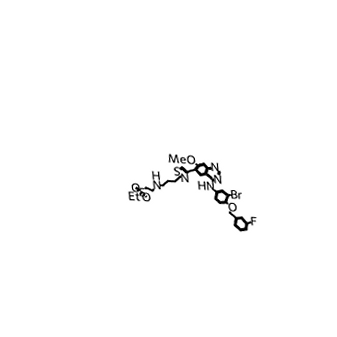 CCS(=O)(=O)CCNCCCc1nc(-c2cc3c(Nc4ccc(OCc5cccc(F)c5)c(Br)c4)ncnc3cc2OC)cs1